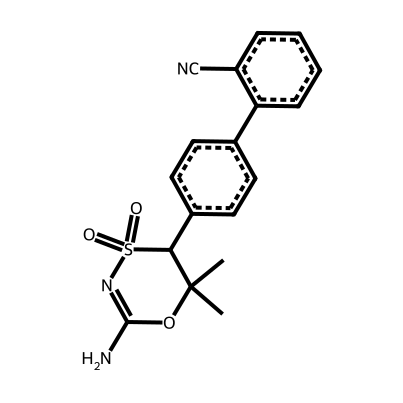 CC1(C)OC(N)=NS(=O)(=O)C1c1ccc(-c2ccccc2C#N)cc1